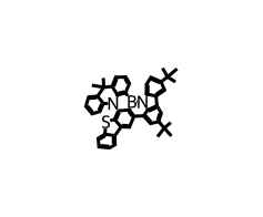 CC(C)(C)c1ccc2c(c1)c1cc(C(C)(C)C)cc3c1n2B1c2cccc4c2N(c2ccccc2C4(C)C)c2c1c-3cc1c2sc2ccccc21